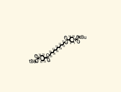 CC(C)(C)OC(=O)N1CCC(C(=O)OCCCCCCCCCCOC(=O)C2CCN(C(=O)OC(C)(C)C)CC2)CC1